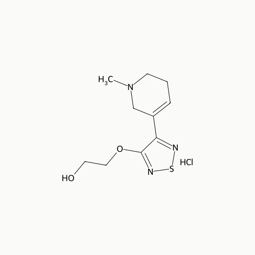 CN1CCC=C(c2nsnc2OCCO)C1.Cl